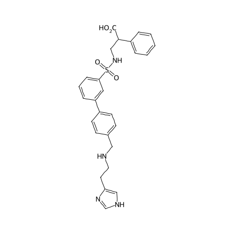 O=C(O)C(CNS(=O)(=O)c1cccc(-c2ccc(CNCCc3c[nH]cn3)cc2)c1)c1ccccc1